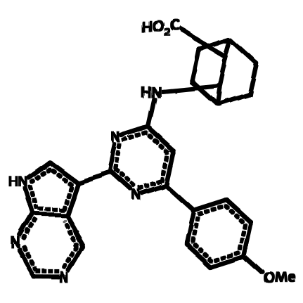 COc1ccc(-c2cc(NC3C4CCC(CC4)C3C(=O)O)nc(-c3c[nH]c4ncncc34)n2)cc1